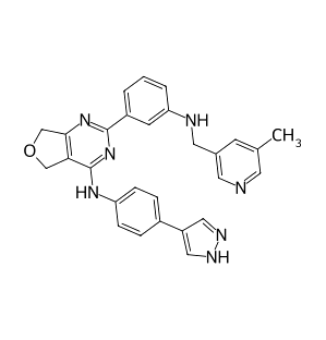 Cc1cncc(CNc2cccc(-c3nc4c(c(Nc5ccc(-c6cn[nH]c6)cc5)n3)COC4)c2)c1